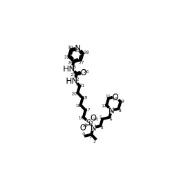 CC(C)N(CCCN1CCOCC1)S(=O)(=O)CCCCCCNC(=O)Nc1ccncc1